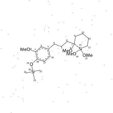 COc1cc(CCCC2(OC)CCCC[Si]2(OC)OC)ccc1O[Si](C)(C)C